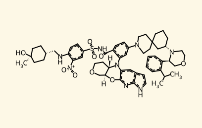 CC(C)c1ccccc1[C@@H]1COCCN1[C@H]1CCCC2(CCN(c3ccc(C(=O)NS(=O)(=O)c4ccc(NC[C@H]5CC[C@](C)(O)CC5)c([N+](=O)[O-])c4)c(N4c5cc6cc[nH]c6nc5O[C@H]5COCC[C@@H]54)c3)CC2)C1